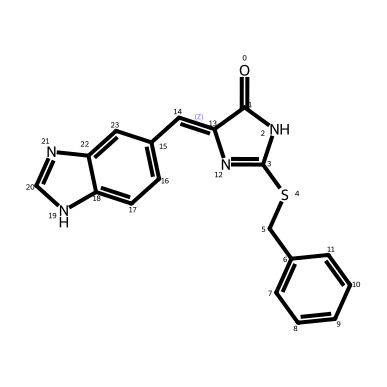 O=C1NC(SCc2ccccc2)=N/C1=C\c1ccc2[nH]cnc2c1